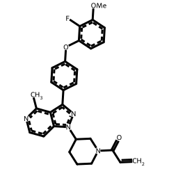 C=CC(=O)N1CCCC(n2nc(-c3ccc(Oc4cccc(OC)c4F)cc3)c3c(C)nccc32)C1